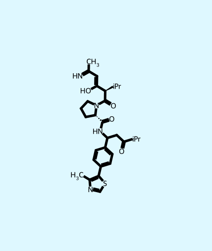 CC(=N)/C=C(\O)[C@H](C(=O)N1CCC[C@H]1C(=O)NC(CC(=O)C(C)C)c1ccc(-c2scnc2C)cc1)C(C)C